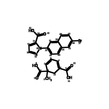 CC1(C(=O)O)C=CC=C(C(=O)O)C1.O=C(O)c1ccnn1-c1ccc2cc(Br)ccc2c1